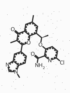 Cc1cc([C@@H](C)Oc2ccc(Cl)nc2C(N)=O)c2oc(-c3ccc4c(c3)ncn4C)c(C)c(=O)c2c1